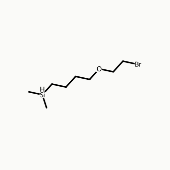 C[SiH](C)CCCCOCCBr